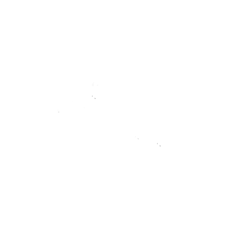 CCCCN(CCCCN1CCN(C)CC1)C(=O)CC(C)(C)C